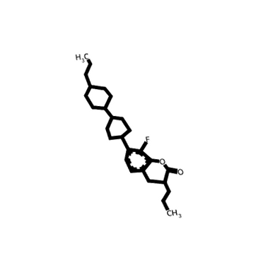 CCCC1CCC(C2CCC(c3ccc4c(c3F)OC(=O)C(CCC)C4)CC2)CC1